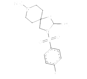 CC1OC2(CCN(C)CC2)CN1S(=O)(=O)c1ccc(F)cc1